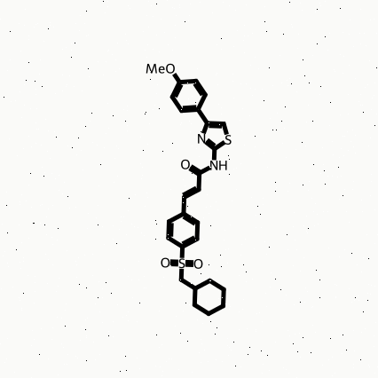 COc1ccc(-c2csc(NC(=O)/C=C/c3ccc(S(=O)(=O)CC4CCCCC4)cc3)n2)cc1